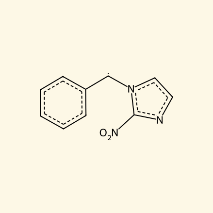 O=[N+]([O-])c1nccn1[CH]c1ccccc1